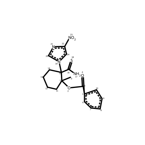 CC1(OC(=O)c2ccccc2)CCCCC1(C(N)=S)n1cnc([N+](=O)[O-])c1